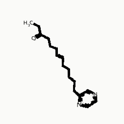 CCC(=O)CCCC=CCCCCCc1cnccn1